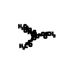 C=CC(=O)CCCOC(CC)(OCCOC(=O)C=C)OCCOC(=O)C=C